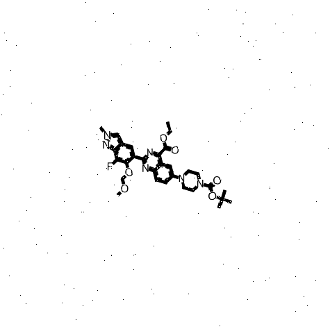 CCOC(=O)c1nc(-c2cc3cn(C)nc3c(F)c2OCOC)nc2ccc(N3CCN(C(=O)OC(C)(C)C)CC3)cc12